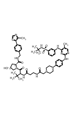 Cc1cnc(Nc2ccc(N3CCN(CC(=O)NCCC(=O)NC(C(=O)N4C[C@H](O)C[C@H]4C(=O)NCc4ccc(-c5scnc5C)cc4)C(C)(C)C)CC3)cc2)nc1Nc1cccc(S(=O)(=O)NC(C)(C)C)c1